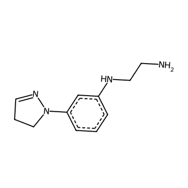 NCCNc1cccc(N2CCC=N2)c1